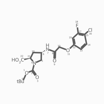 CC(C)(C)OC(=O)N1C[C@@H](NC(=O)COc2ccc(Cl)c(F)c2)C[C@@H]1C(=O)O